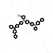 [3H]c1cccc(N(c2ccc(-c3ccc(N(c4ccccc4)c4ccc(-c5ccccc5)cc4)cc3)cc2)c2ccc(-c3ccc(N(c4ccccc4)c4ccc(-c5ccccc5)cc4)cc3)cc2)c1